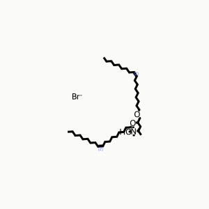 CCCCCCCC/C=C\CCCCCCCCOCC(CC(C)[N+](C)(C)O)OCCCCCCCC/C=C\CCCCCCCC.[Br-]